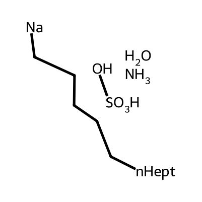 CCCCCCCCCCC[CH2][Na].N.O.O=S(=O)(O)O